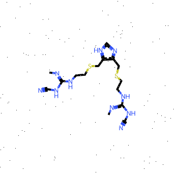 CN=C(NC#N)NCCSCc1nc[nH]c1CSCCNC(=NC)NC#N